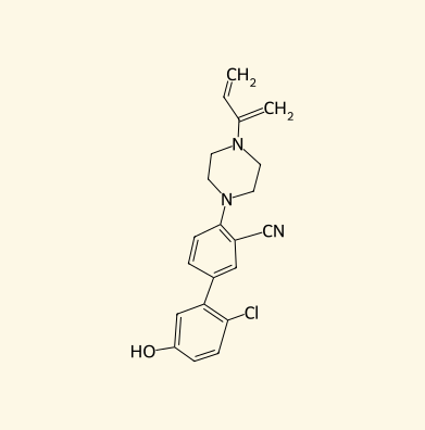 C=CC(=C)N1CCN(c2ccc(-c3cc(O)ccc3Cl)cc2C#N)CC1